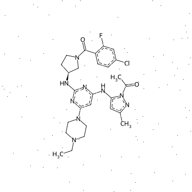 CCN1CCN(c2cc(Nc3cc(C)nn3C(C)=O)nc(N[C@H]3CCN(C(=O)c4ccc(Cl)cc4F)C3)n2)CC1